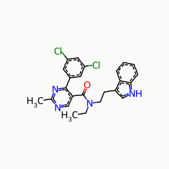 CCN(CCc1c[nH]c2ccccc12)C(=O)c1cnc(C)nc1-c1cc(Cl)cc(Cl)c1